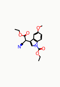 CCOC(=O)C(C#N)c1cn(C(=O)OCC)c2ccc(OC)cc12